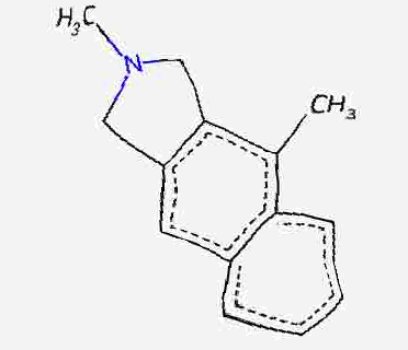 Cc1c2c(cc3ccccc13)CN(C)C2